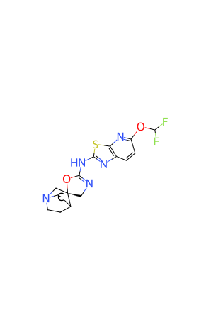 FC(F)Oc1ccc2nc(NC3=NC[C@@]4(CN5CCC4CC5)O3)sc2n1